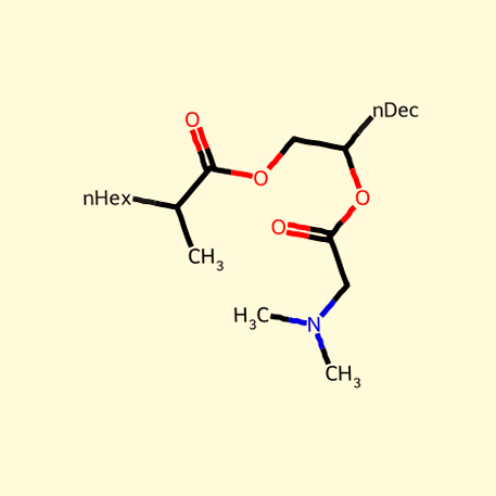 CCCCCCCCCCC(COC(=O)C(C)CCCCCC)OC(=O)CN(C)C